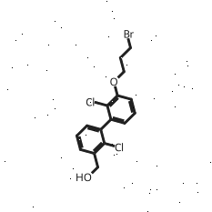 OCc1cccc(-c2cccc(OCCCBr)c2Cl)c1Cl